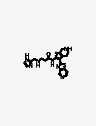 O=C(CCNCc1ncc[nH]1)Nc1sc2c(c1-c1nc3cnccc3s1)CCNC2